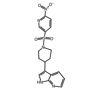 O=[N+]([O-])c1ccc(S(=O)(=O)N2CCC(c3c[nH]c4ncccc34)CC2)cn1